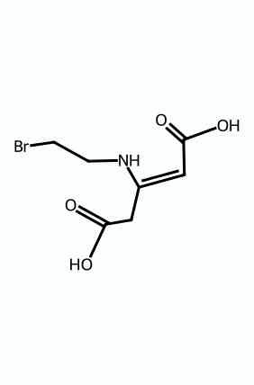 O=C(O)/C=C(/CC(=O)O)NCCBr